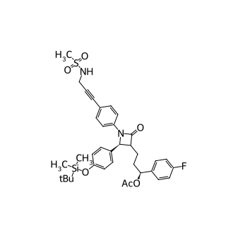 CC(=O)O[C@@H](CCC1C(=O)N(c2ccc(C#CCNS(C)(=O)=O)cc2)[C@@H]1c1ccc(O[Si](C)(C)C(C)(C)C)cc1)c1ccc(F)cc1